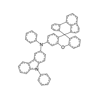 c1ccc(N(c2ccc3c(c2)Oc2ccccc2C32c3ccccc3-c3cccc4cccc2c34)c2ccc3c(c2)c2ccccc2n3-c2ccccc2)cc1